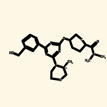 C[C@H]1COCCN1c1nc(OC2CCC(C(=O)N(C)C)CC2)nc(-c2cccc(CO)c2)n1